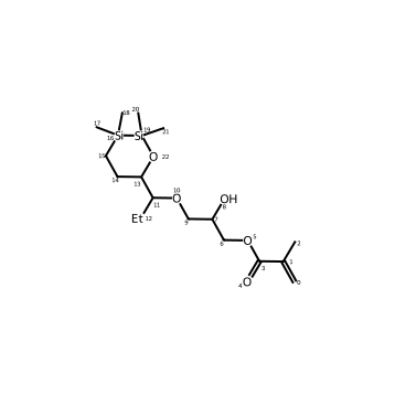 C=C(C)C(=O)OCC(O)COC(CC)C1CC[Si](C)(C)[Si](C)(C)O1